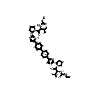 CCNC(=O)N[C@H](C(=O)N1CCC[C@H]1c1ncc(C23CCC(c4ccc(-c5cnc([C@@H]6CCCN6C(=O)[C@@H](NC(=O)OC)C(C)C)[nH]5)cc4)(CC2)CC3)[nH]1)C(C)C